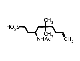 C=CCCC(C)(C)CC(CCS(=O)(=O)O)NC(C)=O